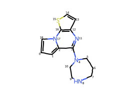 c1cc2c(N3CCCNCC3)nc3ccsc3n2c1